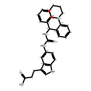 O=C(O)CCc1c[nH]c2ccc(NC(=O)NC(c3ccccc3)c3ccccc3N3CCCCC3)cc12